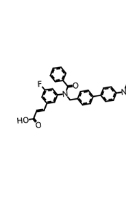 CN(C)c1ccc(-c2ccc(CN(C(=O)c3ccccc3)c3cc(F)cc(C=CC(=O)O)c3)cc2)cc1